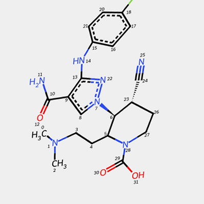 CN(C)CCC1[C@@H](n2cc(C(N)=O)c(Nc3ccc(F)cc3)n2)[C@H](C#N)CCN1C(=O)O